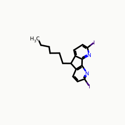 CCCCCCC1c2ccc(I)nc2-c2nc(I)ccc21